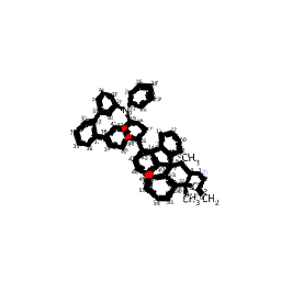 C=C/C=C\C1=C(C)C2(c3ccccc3-c3c(-c4ccc(N(c5ccccc5)c5cccc(-c6ccccc6-c6ccccc6)c5)cc4)cccc32)c2ccccc2C1(C)C